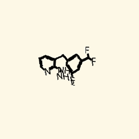 NNc1ncccc1Cc1cc(F)cc(C(F)F)c1